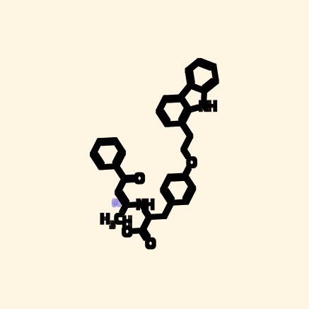 C/C(=C/C(=O)c1ccccc1)NC(Cc1ccc(OCCc2cccc3c2[nH]c2ccccc23)cc1)C(=O)O